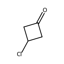 O=C1CC(Cl)C1